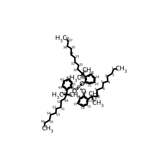 CCCCCCCCCC(C)(C)c1ccccc1OP(Oc1ccccc1C(C)(C)CCCCCCCCC)Oc1ccccc1C(C)(C)CCCCCCCCC